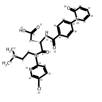 CN(C)CCN(C(=O)[C@H](CC(=O)O)NC(=O)c1ccc(-n2ccccc2=O)cc1)c1ccc(Cl)cn1